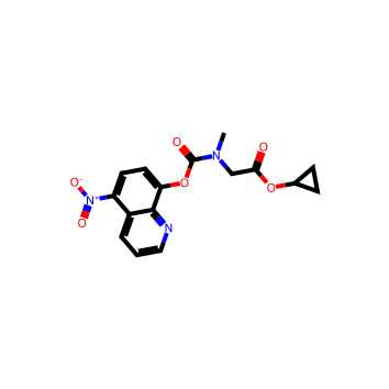 CN(CC(=O)OC1CC1)C(=O)Oc1ccc([N+](=O)[O-])c2cccnc12